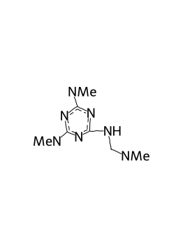 CNCNc1nc(NC)nc(NC)n1